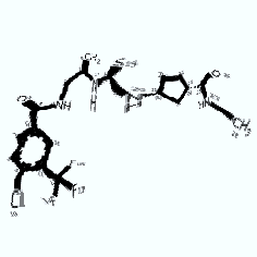 C=C(CNC(=O)c1ccc(Cl)c(C(F)(F)F)c1)NC(=S)N[C@H]1CC[C@H](C(=O)NC)C1